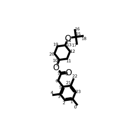 Cc1cc(C)c(CC(=O)OC2CCC(OC(C)(C)C)CC2)c(C)c1